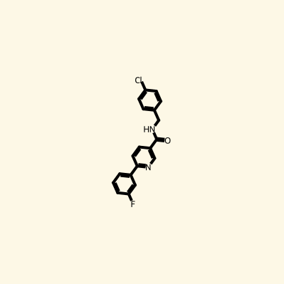 O=C(NCc1ccc(Cl)cc1)c1ccc(-c2cccc(F)c2)nc1